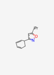 CC(C)c1cc(C2C=CC=CC2)no1